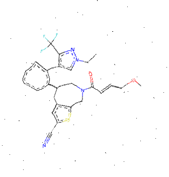 CCn1cc(-c2ccccc2C2CN(C(=O)/C=C/COC)Cc3sc(C#N)cc32)c(C(F)(F)F)n1